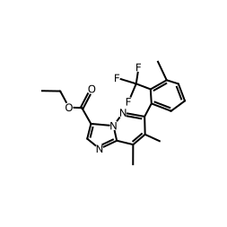 CCOC(=O)c1cnc2c(C)c(C)c(-c3cccc(C)c3C(F)(F)F)nn12